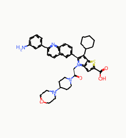 Nc1cccc(-c2ccc3cc(-c4c(C5CCCCC5)c5sc(C(=O)O)cc5n4CC(=O)N4CCC(N5CCOCC5)CC4)ccc3n2)c1